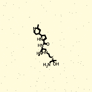 CN/C=C(\CNCCSC(C)(O)CN)NC(=O)C1=CCC(C2C=C(C)N=CC2)N1